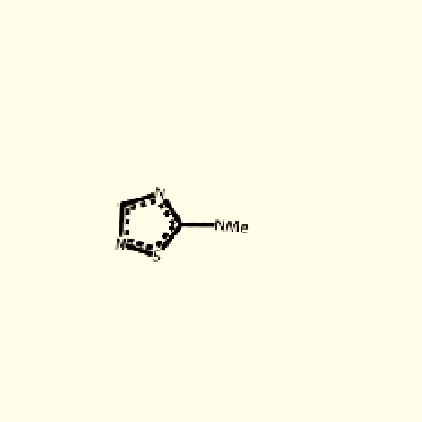 CNc1n[c]ns1